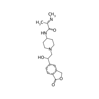 C/N=C(\C)C(=O)NC1CCN(CC(O)c2ccc3c(c2)COC3=O)CC1